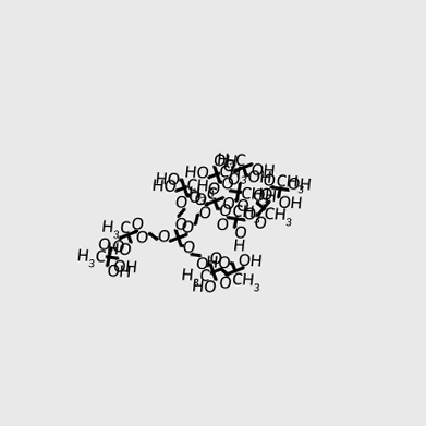 CC(CO)(CO)C(=O)CC(C)(CO)C(=O)OCCOCC(COCCOC(=O)C(C)(CO)CO)(COCCOC(=O)C(C)(CO)COC(=O)C(C)(CO)CO)COCCOC(=O)C(C)(COC(=O)C(C)(CO)COC(=O)C(C)(CO)COC(=O)C(C)(CO)CO)COC(=O)C(C)(COC(=O)C(C)(CO)CO)COC(=O)C(C)(CO)CO